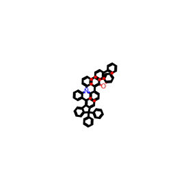 c1ccc(-c2ccc(-c3cccc(N(c4ccccc4-c4cccc5c4-c4ccccc4C5(c4ccccc4)c4ccccc4)c4ccccc4-c4cccc5c4oc4ccccc45)c3)cc2)cc1